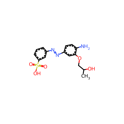 CC(O)COc1cc(N=Nc2cccc(S(=O)(=O)O)c2)ccc1N